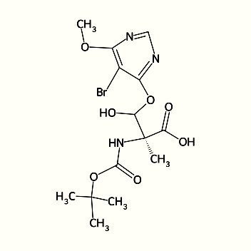 COc1ncnc(OC(O)[C@](C)(NC(=O)OC(C)(C)C)C(=O)O)c1Br